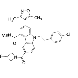 CNC(=O)c1cc(-c2c(C)noc2C)cc2c1c1cc(C(=O)N3CC(F)C3)ccc1n2CCc1ccc(Cl)cc1